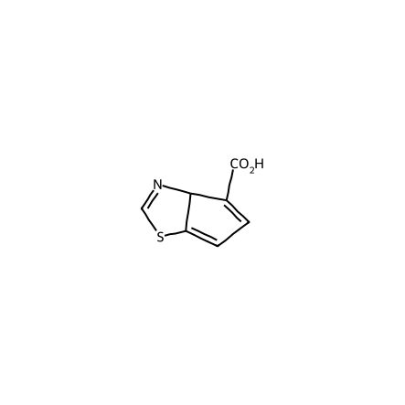 O=C(O)C1=CC=C2SC=NC21